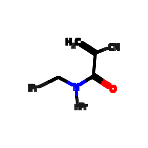 C=C(C#N)C(=O)N(CCC)CC(C)C